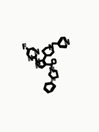 O=C(c1cnn(-c2ncc(F)cn2)c1C1CCN(Cc2ccncc2)CC1)N1CC[C@H](c2ccccc2)C1